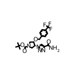 CC(C)(C)OC(=O)N1C[C@@H](n2cc(C(N)=O)nn2)[C@H](OCc2ccc(C(F)(F)F)cc2)C1